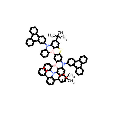 CC(C)(C)c1cc2c3c(c1)N(c1ccc4c5ccccc5c5ccccc5c4c1)c1ccccc1B3c1cc3c(cc1S2)N(c1ccc2c4ccccc4c4ccccc4c2c1)c1cc(C(C)(C)C)cc2c1B3c1ccccc1N2c1c(-c2ccccc2)cccc1-c1ccccc1